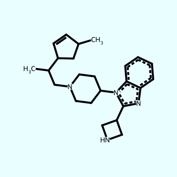 CC1C=CC(C(C)CN2CCC(n3c(C4CNC4)nc4ccccc43)CC2)C1